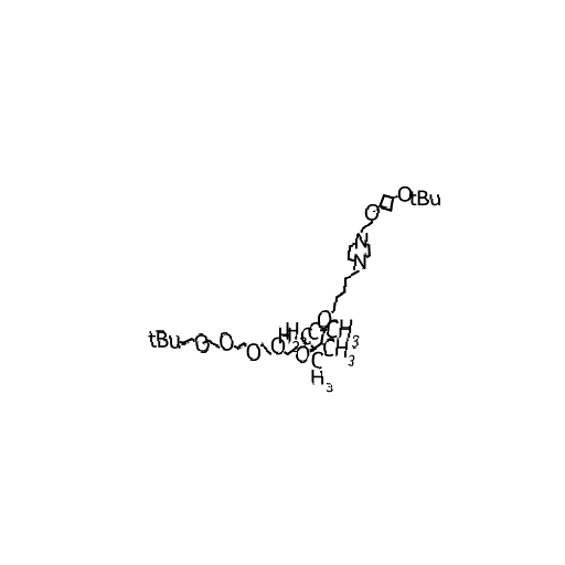 C[C@@H](C(C)(C)OCCCCCN1CCN(CCO[C@H]2C[C@H](OC(C)(C)C)C2)CC1)C(C)(C)OCCOCCOCCOCCOCCC(C)(C)C